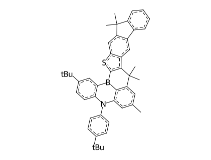 Cc1cc2c3c(c1)C(C)(C)c1c(sc4cc5c(cc14)-c1ccccc1C5(C)C)B3c1cc(C(C)(C)C)ccc1N2c1ccc(C(C)(C)C)cc1